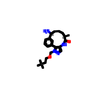 C[C@@H]1CCC[C@H](N)c2cccc(c2)-c2c(cnn2COCC[Si](C)(C)C)NC1=O